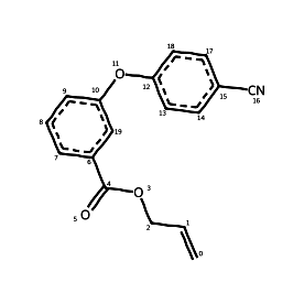 C=CCOC(=O)c1cccc(Oc2ccc(C#N)cc2)c1